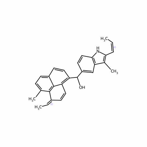 C/C=C\c1[nH]c2ccc(C(O)c3ccc4ccc(C)c5/c(=C\C)ccc3c45)cc2c1C